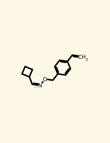 C=Cc1ccc(CO/N=[C]\C2CCC2)cc1